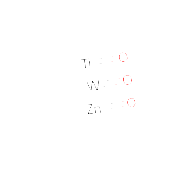 [O]=[Ti].[O]=[W].[O]=[Zn]